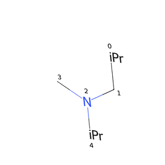 CC(C)CN(C)C(C)C